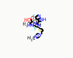 C[C@H](Nc1nc(-c2c[nH]c3ncc(F)cc23)nc(-c2ccc(CN3CCN(C)CC3)s2)c1F)[C@H](C)C(=O)O